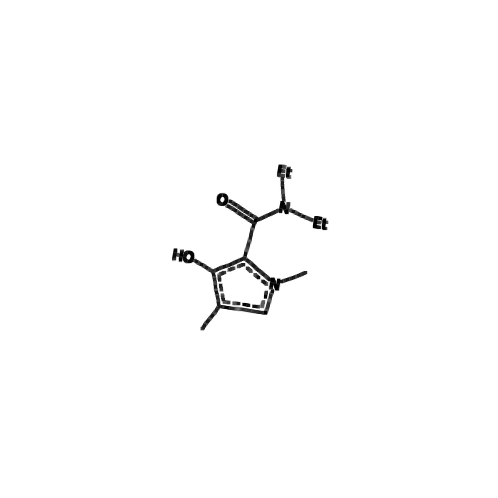 CCN(CC)C(=O)c1c(O)c(C)cn1C